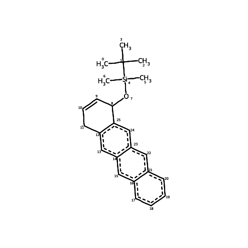 CC(C)(C)[Si](C)(C)OC1C=C[CH]c2cc3cc4ccccc4cc3cc21